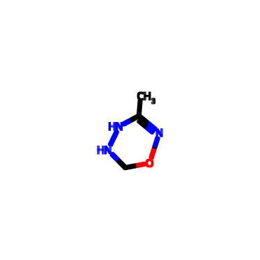 CC1=NOCNN1